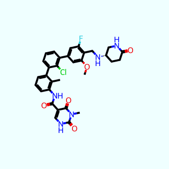 COc1cc(-c2cccc(-c3cccc(NC(=O)c4c[nH]c(=O)n(C)c4=O)c3C)c2Cl)cc(F)c1CN[C@H]1CCC(=O)NC1